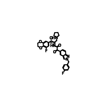 O=C(N[C@H](CN1CCCC1)[C@@H](O)c1cc(F)c2c(c1)OCCO2)C(=O)c1ccc2nn(Cc3ccc(F)cc3)cc2c1